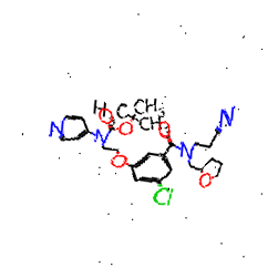 CC(C)(C)OC(=O)N(CCOc1cc(Cl)cc(C(=O)N(CCC#N)CC2CCCO2)c1)c1ccncc1